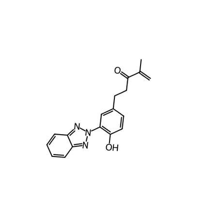 C=C(C)C(=O)CCc1ccc(O)c(-n2nc3ccccc3n2)c1